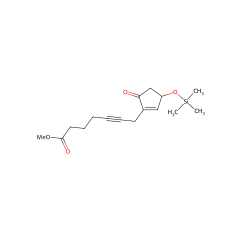 COC(=O)CCCC#CCC1=CC(O[Si](C)(C)C)CC1=O